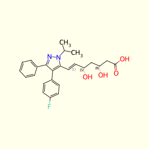 CC(C)n1nc(-c2ccccc2)c(-c2ccc(F)cc2)c1/C=C/[C@@H](O)C[C@@H](O)CC(=O)O